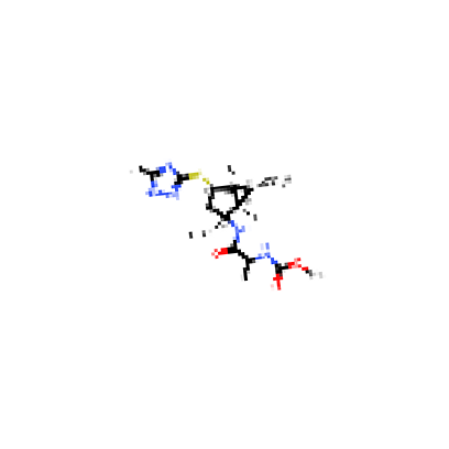 CC(NC(=O)OC(C)(C)C)C(=O)N[C@@]1(C(=O)O)C[C@@H](Sc2n[nH]c(C(F)(F)F)n2)[C@H]2[C@H](C(=O)O)[C@H]21